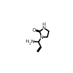 C=CC(N)N1CCNC1=O